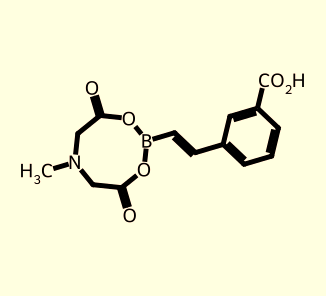 CN1CC(=O)OB(/C=C/c2cccc(C(=O)O)c2)OC(=O)C1